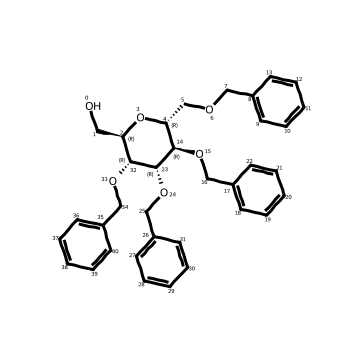 OC[C@H]1O[C@H](COCc2ccccc2)[C@@H](OCc2ccccc2)[C@H](OCc2ccccc2)[C@@H]1OCc1ccccc1